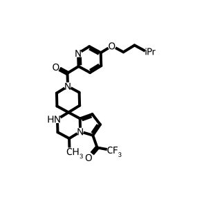 CC(C)CCOc1ccc(C(=O)N2CCC3(CC2)NCC(C)n2c(C(=O)C(F)(F)F)ccc23)nc1